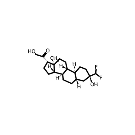 C[C@]12CC[C@H]3[C@@H](CC[C@H]4C[C@@](O)(C(F)F)CC[C@@H]43)[C@@H]1CC[C@@H]2C(=O)CO